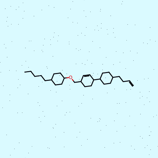 C=CCCC1CCC(C2C=CC(COC3CCC(CCCCC)CC3)CC2)CC1